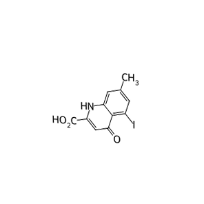 Cc1cc(I)c2c(=O)cc(C(=O)O)[nH]c2c1